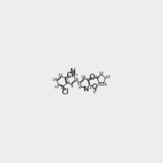 COc1ncc(/C(C#N)=C/c2c(Cl)cccc2Cl)cc1OC1CCCC1